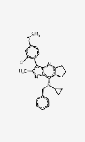 COc1ccc(-c2c(C)nn3c(N(Cc4ccccc4)C4CC4)c4c(nc23)CCC4)c(Cl)c1